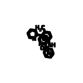 Cc1ccc(NC(=O)N2C3CC2CN(c2ncccn2)C3)cc1-c1ccccn1